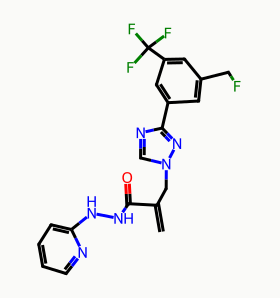 C=C(Cn1cnc(-c2cc(CF)cc(C(F)(F)F)c2)n1)C(=O)NNc1ccccn1